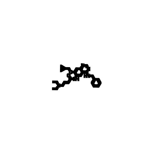 CCN(CC)CC=CC(=O)Nc1cc2c(NCc3ccccc3)ncnc2cc1OCC1CC1